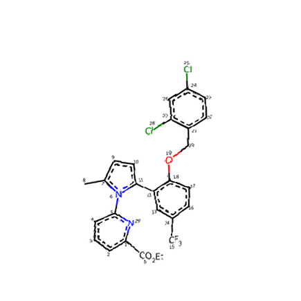 CCOC(=O)c1cccc(-n2c(C)ccc2-c2cc(C(F)(F)F)ccc2OCc2ccc(Cl)cc2Cl)n1